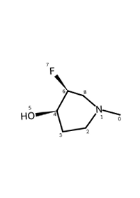 CN1CC[C@@H](O)[C@@H](F)C1